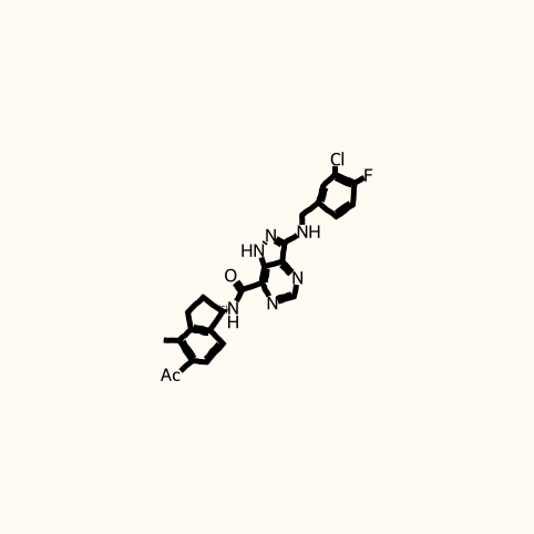 CC(=O)c1ccc2c(c1C)CC[C@@H]2NC(=O)c1ncnc2c(NCc3ccc(F)c(Cl)c3)n[nH]c12